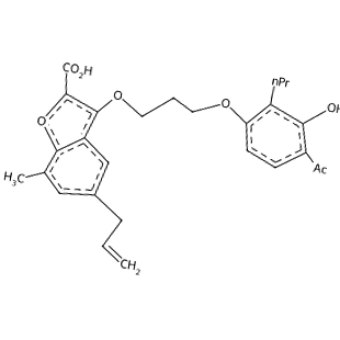 C=CCc1cc(C)c2oc(C(=O)O)c(OCCCOc3ccc(C(C)=O)c(O)c3CCC)c2c1